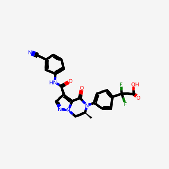 C[C@H]1Cn2ncc(C(=O)Nc3cccc(C#N)c3)c2C(=O)N1c1ccc(C(F)(F)C(=O)O)cc1